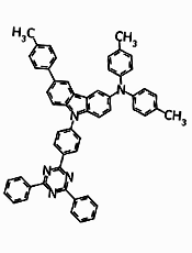 Cc1ccc(-c2ccc3c(c2)c2cc(N(c4ccc(C)cc4)c4ccc(C)cc4)ccc2n3-c2ccc(-c3nc(-c4ccccc4)nc(-c4ccccc4)n3)cc2)cc1